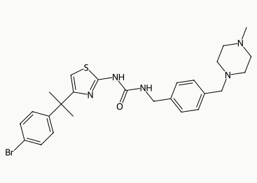 CN1CCN(Cc2ccc(CNC(=O)Nc3nc(C(C)(C)c4ccc(Br)cc4)cs3)cc2)CC1